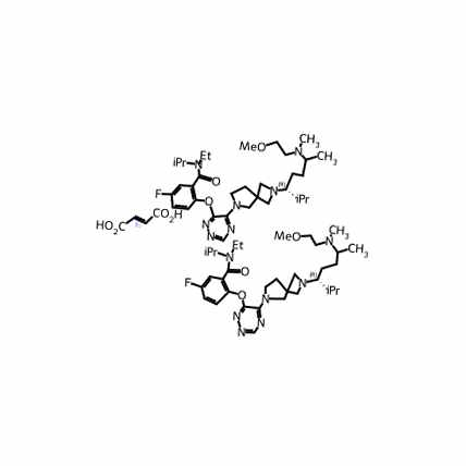 CCN(C(=O)c1cc(F)ccc1Oc1nncnc1N1CCC2(C1)CN([C@H](CCC(C)N(C)CCOC)C(C)C)C2)C(C)C.CCN(C(=O)c1cc(F)ccc1Oc1nncnc1N1CCC2(C1)CN([C@H](CCC(C)N(C)CCOC)C(C)C)C2)C(C)C.O=C(O)/C=C/C(=O)O